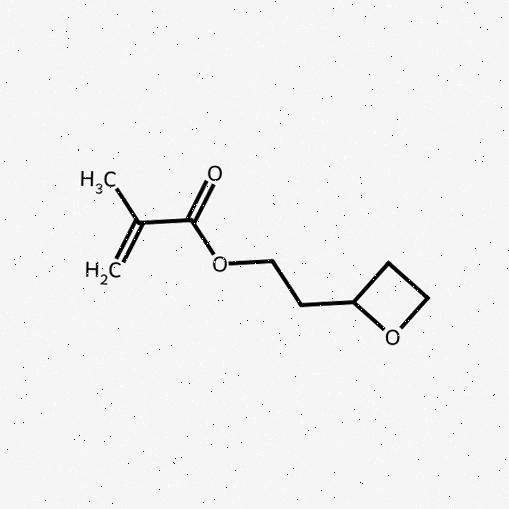 C=C(C)C(=O)OCCC1CCO1